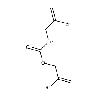 C=C(Br)COC(=O)[Te]CC(=C)Br